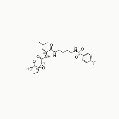 CC[C@]1(C(=O)O)O[C@@H]1C(=O)N[C@@H](CC(C)C)C(=O)NCCCCNS(=O)(=O)c1ccc(F)cc1